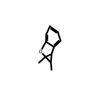 CC1C2c3ccccc3OC12C